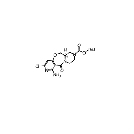 CC(C)(C)OC(=O)N1CCN2C(=O)c3c(cc(Cl)nc3N)OC[C@H]2C1